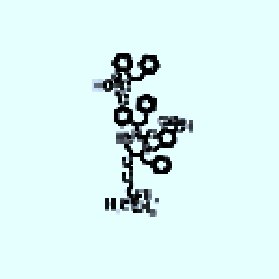 COc1cc(CN2C(=O)N(C(Cc3ccccc3)c3cccc(OCP(=O)(O)OC(Cc4ccccc4)c4ccccc4)c3)NCC(OCOCC[Si](C)(C)C)C2Cc2ccccc2)ccc1O